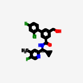 Cc1cc([C@@H](NC(=O)c2cc(CO)cc(-c3ccc(F)cc3Cl)c2)C2CC2)ncc1F